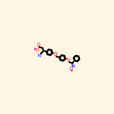 CO/N=C(\COc1ccc(COc2ccc(C(C#N)CC(=O)OI)cc2)cc1)c1ccccc1